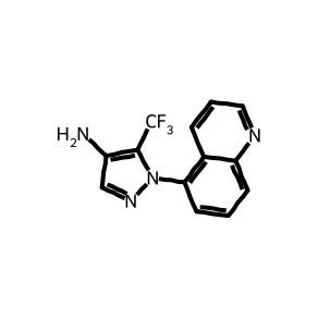 Nc1cnn(-c2cccc3ncccc23)c1C(F)(F)F